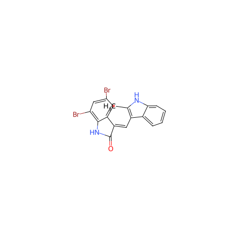 Cc1[nH]c2ccccc2c1C=C1C(=O)Nc2c(Br)cc(Br)cc21